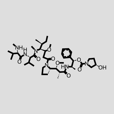 CC[C@H](C)[C@@H](C(CC(=O)N1CCC[C@H]1[C@H](OC)[C@@H](C)C(=O)N[C@H](C)[C@@H](OC(=O)N1CC[C@H](O)C1)c1ccccc1)OC)N(C)C(=O)[C@@H](NC(=O)[C@@H](NC)C(C)C)C(C)C